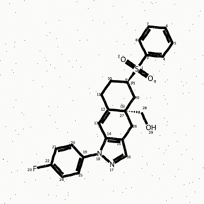 O=S(=O)(c1ccccc1)[C@@H]1CCC2=Cc3c(cnn3-c3ccc(F)cc3)C[C@]2(CO)C1